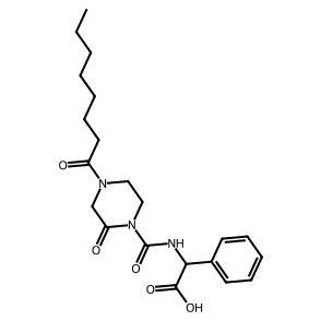 CCCCCCCC(=O)N1CCN(C(=O)NC(C(=O)O)c2ccccc2)C(=O)C1